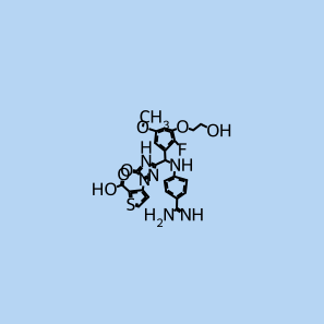 COc1cc(OCCO)c(F)c(C(Nc2ccc(C(=N)N)cc2)c2nn(-c3ccsc3C(=O)O)c(=O)[nH]2)c1